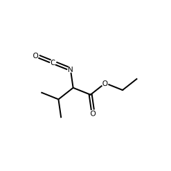 CCOC(=O)C(N=C=O)C(C)C